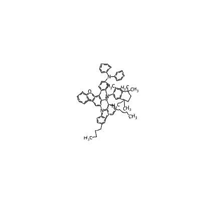 CCCCc1ccc2c(c1)c1cc(CCCC)cc3c1n2-c1cc2c(oc4ccccc42)c2c1B3N(c1cc3c(cc1C)C(C)(C)CCC3(C)C)c1cc(N(c3ccccc3)c3ccccc3)ccc1-2